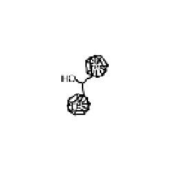 OC([C]12[CH]3[CH]4[CH]5[CH]1[Fe]45321678[CH]2[CH]1[CH]6[CH]7[CH]28)[C]12[CH]3[CH]4[CH]5[CH]1[Fe]45321678[CH]2[CH]1[CH]6[CH]7[CH]28